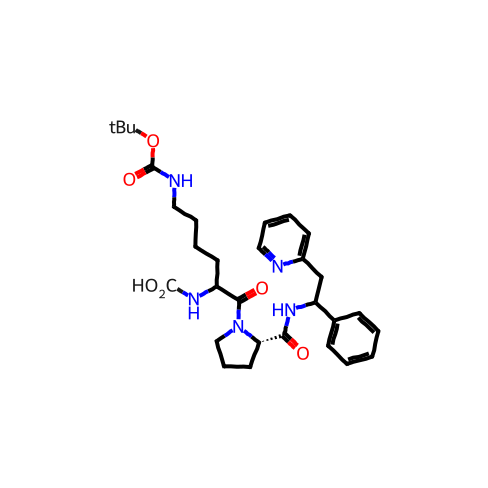 CC(C)(C)OC(=O)NCCCCC(NC(=O)O)C(=O)N1CCC[C@H]1C(=O)NC(Cc1ccccn1)c1ccccc1